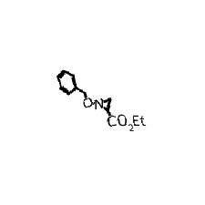 CCOC(=O)C1CN1OCc1ccccc1